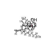 CC(=S)NC(OC(c1ccccc1)(c1ccccc1)c1ccccc1)C(C)O.CCCCCCCCCCCC1CC1